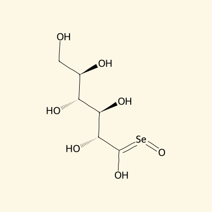 O=[Se]=C(O)[C@H](O)[C@H](O)[C@H](O)[C@H](O)CO